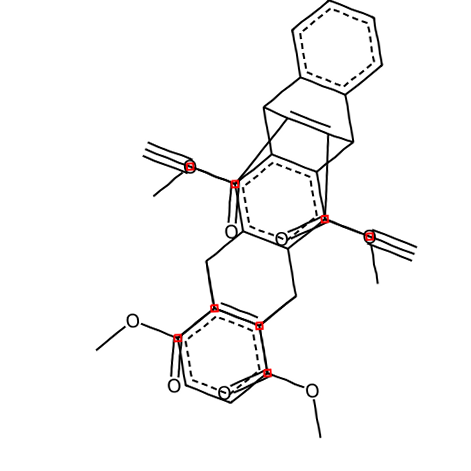 C#Cc1c2c(c(C#C)c3c1C1C(C(=O)OC)=C(C(=O)OC)C3c3ccccc31)C1C(C(=O)OC)=C(C(=O)OC)C2c2ccccc21